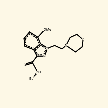 CC[C@H](C)NC(=O)c1nn(CCN2CCOCC2)c2c(OC)cccc12